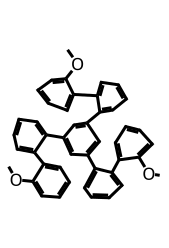 COc1ccccc1-c1ccccc1-c1cc(-c2ccccc2-c2ccccc2OC)cc(-c2ccccc2-c2ccccc2OC)c1